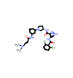 CN(C)C/C=C/C(=O)Nc1cccc(N2CC[C@H](NC(=O)c3n[nH]cc3NC(=O)c3c(Cl)cccc3Cl)C2)c1